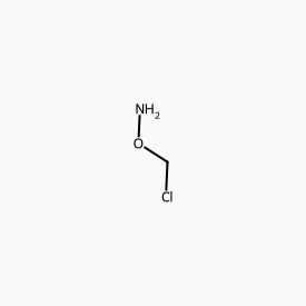 NOCCl